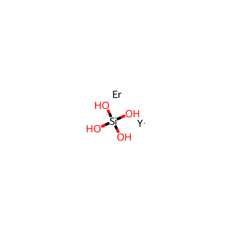 O[Si](O)(O)O.[Er].[Y]